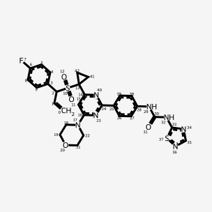 C=CC(c1ccc(F)cc1)S(=O)(=O)C1(c2cc(N3CCOCC3)nc(-c3ccc(NC(=O)Nc4ncns4)cc3)n2)CC1